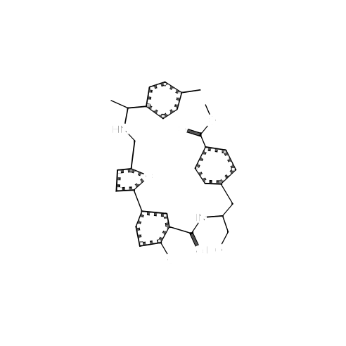 COC(=O)c1ccc(CC(CO)NC(=O)c2cc(-c3ccc(CNC(C)c4ccc(C)cc4)o3)ccc2Cl)cc1